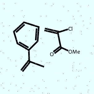 C=C(C)c1ccccc1.C=C(Cl)C(=O)OC